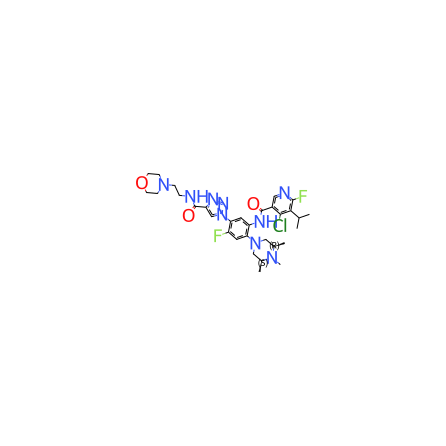 CC(C)c1c(F)ncc(C(=O)Nc2cc(-n3cc(C(=O)NCCN4CCOCC4)nn3)c(F)cc2N2C[C@@H](C)N(C)[C@@H](C)C2)c1Cl